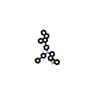 c1ccc(-c2ccc(N(c3ccc(-c4cc5ccc6ccccc6c5c5ccccc45)cc3)c3cccc4c3ccc3sc5ccccc5c34)cc2)cc1